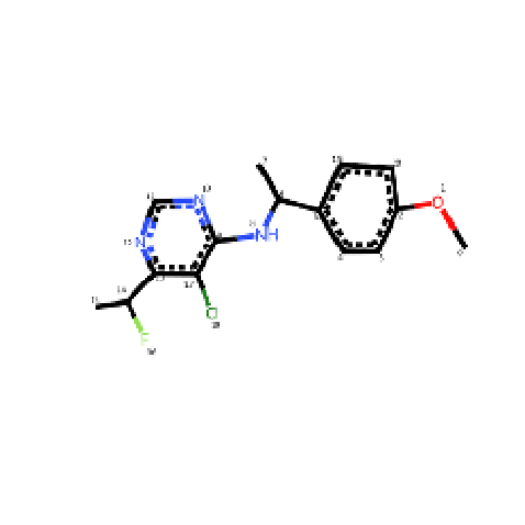 COc1ccc(C(C)Nc2ncnc(C(C)F)c2Cl)cc1